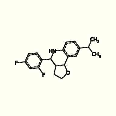 CC(C)c1ccc2c(c1)C1OCCC1C(c1ccc(F)cc1F)N2